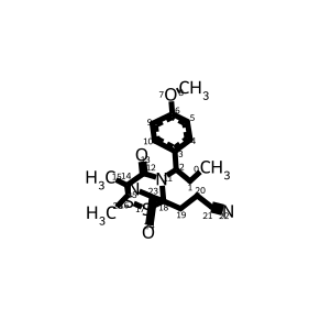 CCC(c1ccc(OC)cc1)N1C(=O)C2(C)SSC1(CCC#N)C(=O)N2C